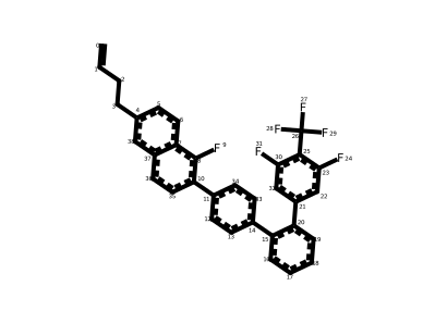 C=CCCc1ccc2c(F)c(-c3ccc(-c4ccccc4-c4cc(F)c(C(F)(F)F)c(F)c4)cc3)ccc2c1